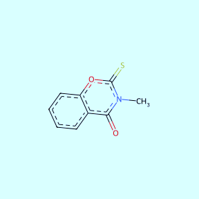 Cn1c(=S)oc2ccccc2c1=O